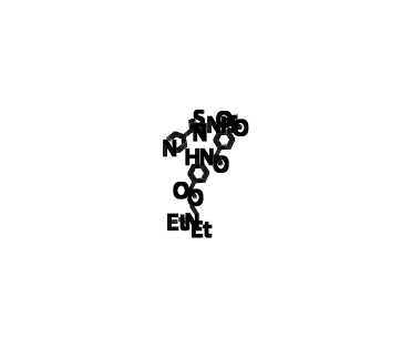 CCN(CC)CCOC(=O)c1ccc(NC(=O)c2ccc(S(C)(=O)=O)c(Nc3nc(-c4ccncc4)cs3)c2)cc1